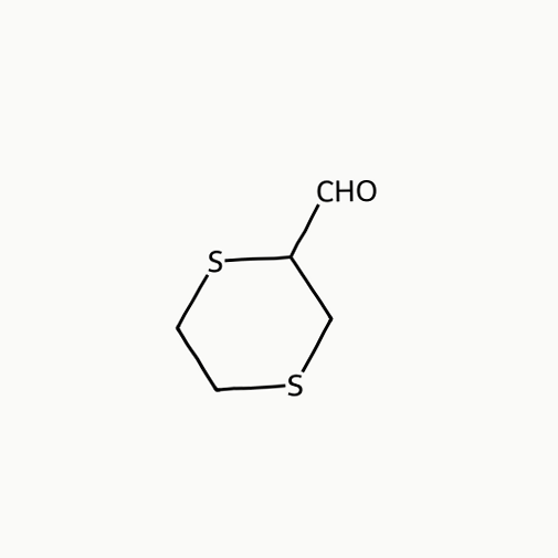 O=CC1CSCCS1